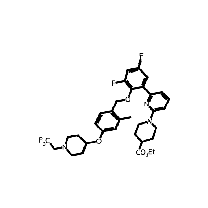 CCOC(=O)C1CCN(c2cccc(-c3cc(F)cc(F)c3OCc3ccc(OC4CCN(CC(F)(F)F)CC4)cc3C)n2)CC1